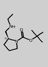 CCNC[C@@H]1CCCN1C(=O)OC(C)(C)C